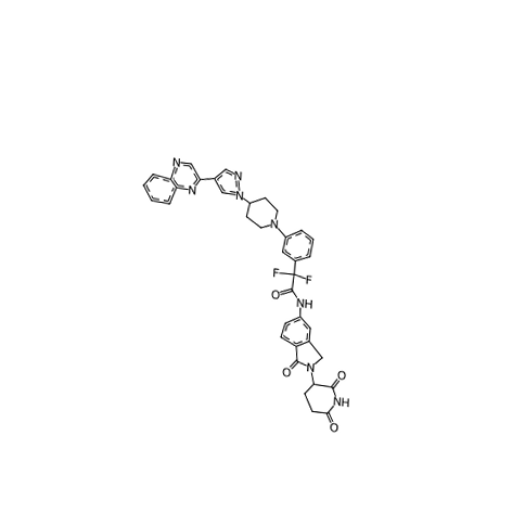 O=C1CCC(N2Cc3cc(NC(=O)C(F)(F)c4cccc(N5CCC(n6cc(-c7cnc8ccccc8n7)cn6)CC5)c4)ccc3C2=O)C(=O)N1